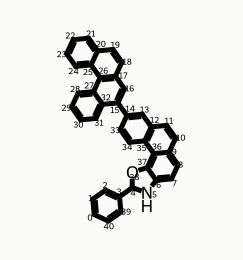 c1ccc(C2Nc3ccc4ccc5cc(-c6cc7ccc8ccccc8c7c7ccccc67)ccc5c4c3O2)cc1